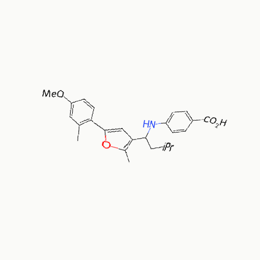 COc1ccc(-c2cc(C(CC(C)C)Nc3ccc(C(=O)O)cc3)c(C)o2)c(C)c1